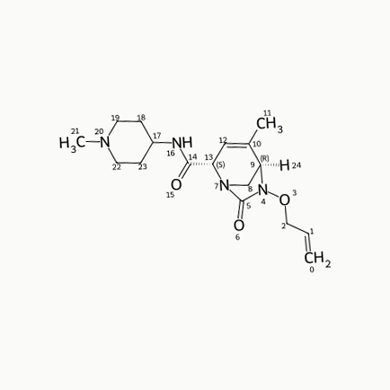 C=CCON1C(=O)N2C[C@H]1C(C)=C[C@H]2C(=O)NC1CCN(C)CC1